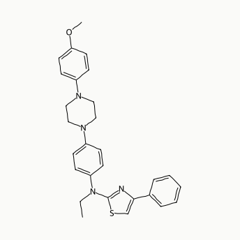 CCN(c1ccc(N2CCN(c3ccc(OC)cc3)CC2)cc1)c1nc(-c2ccccc2)cs1